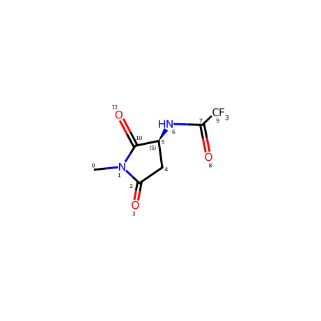 CN1C(=O)C[C@H](NC(=O)C(F)(F)F)C1=O